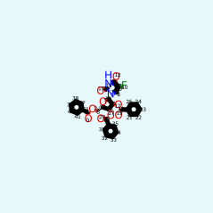 O=C(OC[C@@H]1O[C@H](n2cc(F)c(=O)[nH]c2=O)C(OC(=O)c2ccccc2)C1OC(=O)c1ccccc1)c1ccccc1